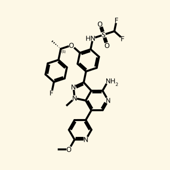 COc1ccc(-c2cnc(N)c3c(-c4ccc(NS(=O)(=O)C(F)F)c(O[C@@H](C)c5ccc(F)cc5)c4)nn(C)c23)cn1